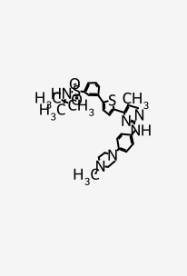 Cc1cnc(Nc2ccc(N3CCN(C)CC3)cc2)nc1-c1ccc(-c2cccc(S(=O)(=O)NC(C)(C)C)c2)s1